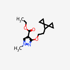 CCOC(=O)c1cn(C)nc1OCCC1C2(CC2)C12CC2